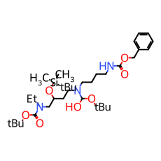 CCN(CC(CCN(CCCCNC(=O)OCc1ccccc1)C(O)OC(C)(C)C)O[Si](C)(C)C(C)(C)C)C(=O)OC(C)(C)C